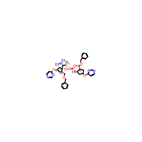 CCN(CC)C(C)[C@]1(O)C[C@H](Oc2ccncn2)C[C@@H]1COCc1ccccc1.O=[PH](O)O[C@H]1C[C@H](Oc2ccncn2)C[C@@H]1COCc1ccccc1